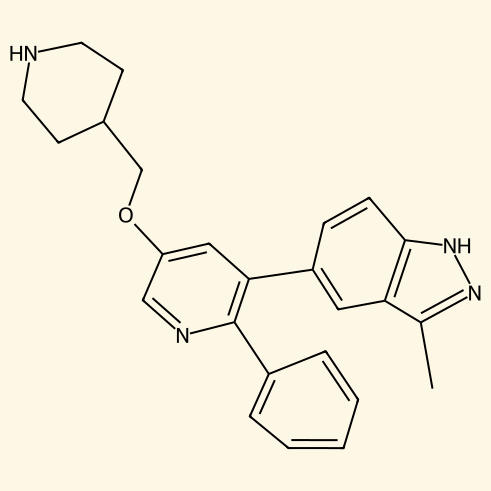 Cc1n[nH]c2ccc(-c3cc(OCC4CCNCC4)cnc3-c3ccccc3)cc12